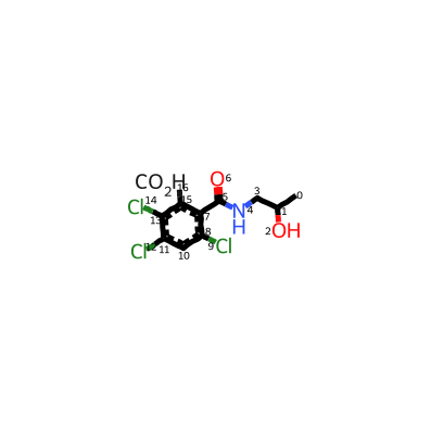 CC(O)CNC(=O)c1c(Cl)cc(Cl)c(Cl)c1C(=O)O